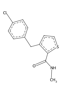 CNC(=O)c1sccc1Cc1ccc(Cl)cc1